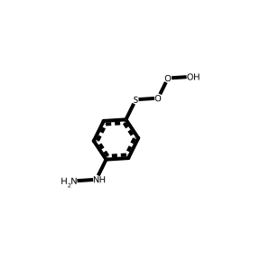 NNc1ccc(SOOO)cc1